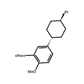 CCCCCc1cc([C@H]2CC[C@H](C(C)C)CC2)ccc1OC